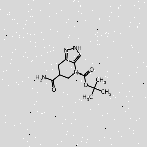 CC(C)(C)OC(=O)N1CC(C(N)=O)Cc2n[nH]cc21